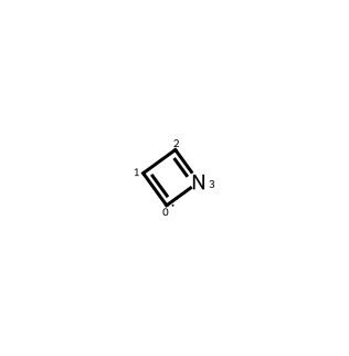 [C]1=CC=N1